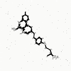 Cc1ccc2c(c1)nc(N)c1ncc(CCc3ccc(OCCC(C)C(=O)O)cc3)cc12